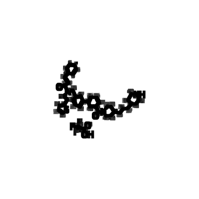 O=C(C=Cc1ccccc1)N(CCc1cccs1)Cc1cccc(-c2cccc(C(=O)N3CCC(CCCC4CCNCC4)CC3)c2)c1.O=C(O)C(F)(F)F